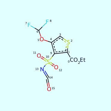 CCOC(=O)c1scc(OC(F)F)c1S(=O)(=O)N=C=O